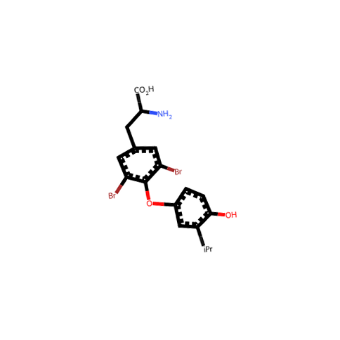 CC(C)c1cc(Oc2c(Br)cc(CC(N)C(=O)O)cc2Br)ccc1O